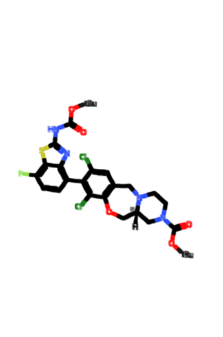 CC(C)(C)OC(=O)Nc1nc2c(-c3c(Cl)cc4c(c3Cl)OC[C@H]3CN(C(=O)OC(C)(C)C)CCN3C4)ccc(F)c2s1